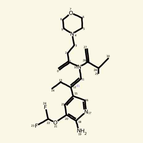 C=C(CCN1CCOCC1)N(/C=C(\CC)c1cnc(N)c(OC(F)F)c1)C(=C)C(C)C